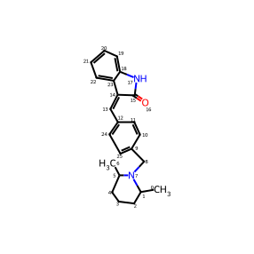 CC1CCCC(C)N1Cc1ccc(C=C2C(=O)Nc3ccccc32)cc1